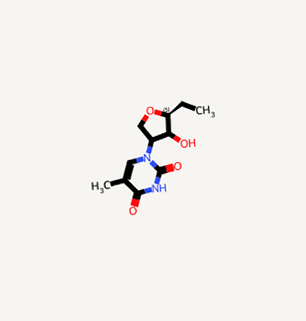 CC[C@@H]1OCC(n2cc(C)c(=O)[nH]c2=O)C1O